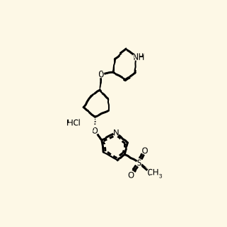 CS(=O)(=O)c1ccc(O[C@H]2CC[C@H](OC3CCNCC3)CC2)nc1.Cl